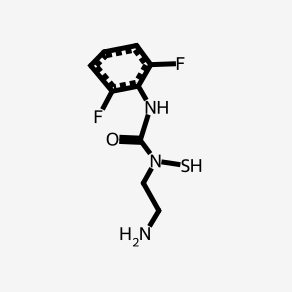 NCCN(S)C(=O)Nc1c(F)cccc1F